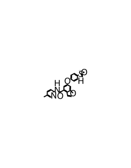 Cc1ccc(NC(=O)c2cc(Oc3ccc([SH](C)(C)=O)cc3)cc3occc23)nc1